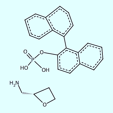 NC[C@@H]1CCO1.O=P(O)(O)Oc1ccc2ccccc2c1-c1cccc2ccccc12